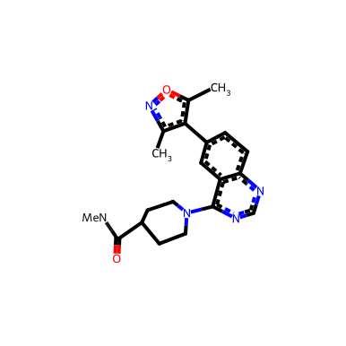 CNC(=O)C1CCN(c2ncnc3ccc(-c4c(C)noc4C)cc23)CC1